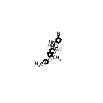 Cc1c(OC2CCN(C)CC2)ccc2c1OC(O)C(NC(=O)Nc1cccc(C#N)c1)=C2